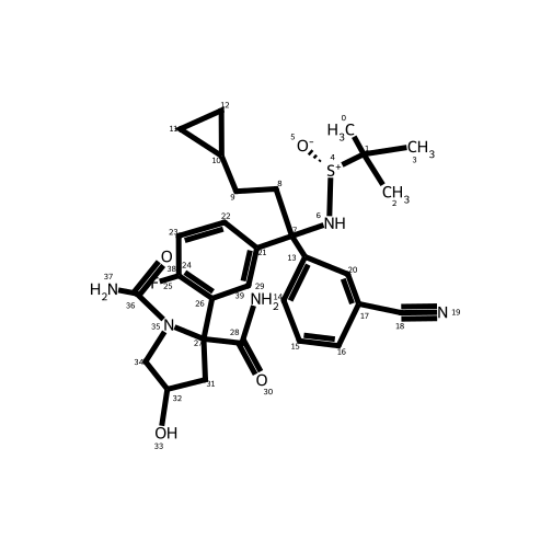 CC(C)(C)[S@@+]([O-])NC(CCC1CC1)(c1cccc(C#N)c1)c1ccc(F)c(C2(C(N)=O)CC(O)CN2C(N)=O)c1